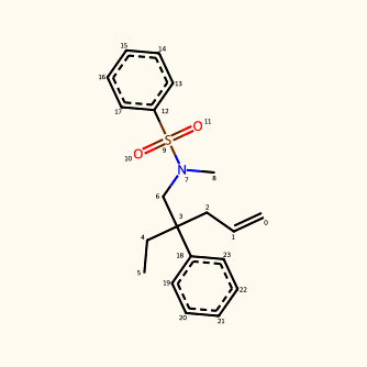 C=CCC(CC)(CN(C)S(=O)(=O)c1ccccc1)c1ccccc1